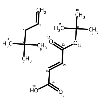 C=CCC(C)(C)C.CC(C)(C)OC(=O)C=CC(=O)O